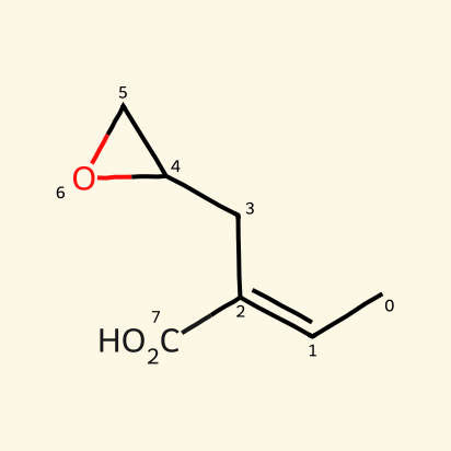 C/C=C(\CC1CO1)C(=O)O